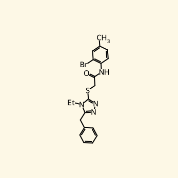 CCn1c(Cc2ccccc2)nnc1SCC(=O)Nc1ccc(C)cc1Br